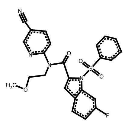 COCCN(C(=O)c1cc2ccc(F)cc2n1S(=O)(=O)c1ccccc1)c1ccc(C#N)cn1